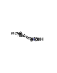 COCC(=O)NCCOCCOCCNC(=O)/C=C/c1ccc(O)cc1